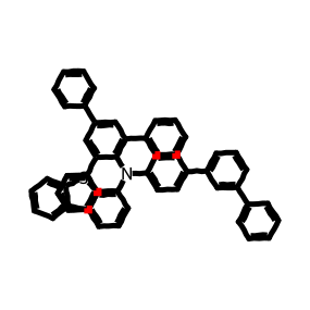 c1ccc(-c2cccc(-c3ccc(N(c4c(-c5ccccc5)cc(-c5ccccc5)cc4-c4ccccc4)c4cccc5c4sc4ccccc45)cc3)c2)cc1